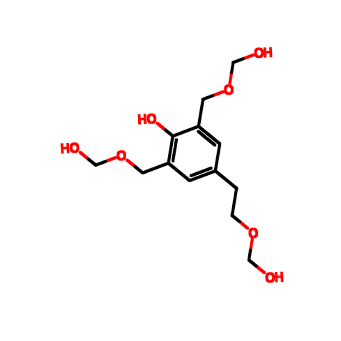 OCOCCc1cc(COCO)c(O)c(COCO)c1